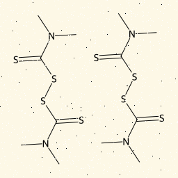 CN(C)C(=S)SSC(=S)N(C)C.CN(C)C(=S)SSC(=S)N(C)C